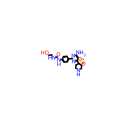 CS(=O)(=O)C1(c2cc(N)nc(-c3ccc(NC(=O)NCCO)cc3)n2)CCNCC1